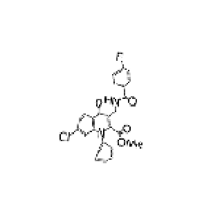 COC(=O)c1c(CNC(=O)c2ccc(F)cc2)c(=O)c2ccc(Cl)cc2n1-c1ccccc1